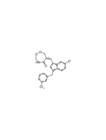 O=C1NCOOC/C1=C/c1cn(Cc2cccc(C(F)(F)F)c2)c2ccc(Cl)cc12